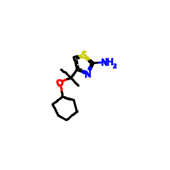 CC(C)(OC1CCCCC1)c1csc(N)n1